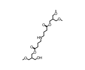 COCC(CO)COC(=O)CCCNCCCC(=O)OCC(COC)COC